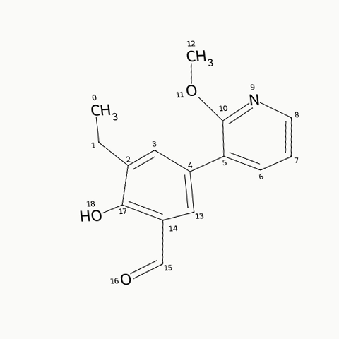 CCc1cc(-c2cccnc2OC)cc(C=O)c1O